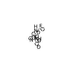 COc1ccc(CNS(=O)(=O)c2cc(NC(=O)Cc3ccccc3F)ccc2-c2cccnc2)c(OC)c1